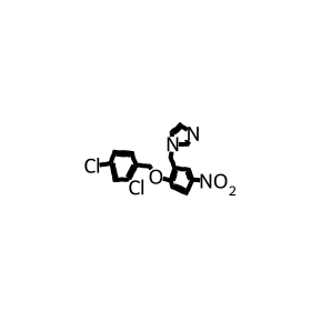 O=[N+]([O-])c1ccc(OCc2ccc(Cl)cc2Cl)c(Cn2ccnc2)c1